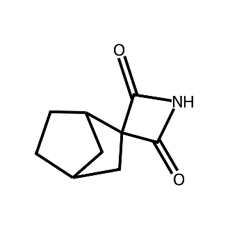 O=C1NC(=O)C12CC1CCC2C1